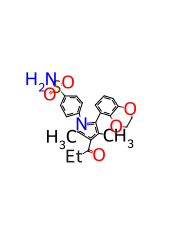 CCC(=O)c1c(C)c(-c2cccc3c2OCCO3)n(-c2ccc(S(N)(=O)=O)cc2)c1C